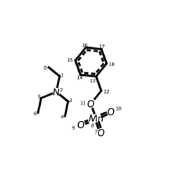 CCN(CC)CC.[O]=[Mn](=[O])(=[O])[O]Cc1ccccc1